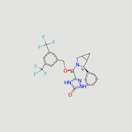 O=c1[nH]nc([C@@H](OCc2cc(C(F)(F)F)cc(C(F)(F)F)c2)N2CC3CC3[C@H]2c2ccccc2)[nH]1